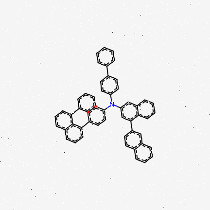 c1ccc(-c2ccc(N(c3ccc(-c4cccc5cccc(-c6ccccc6)c45)cc3)c3cc(-c4ccc5ccccc5c4)c4ccccc4c3)cc2)cc1